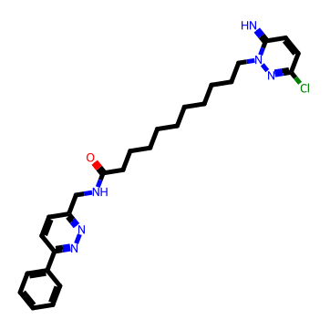 N=c1ccc(Cl)nn1CCCCCCCCCCC(=O)NCc1ccc(-c2ccccc2)nn1